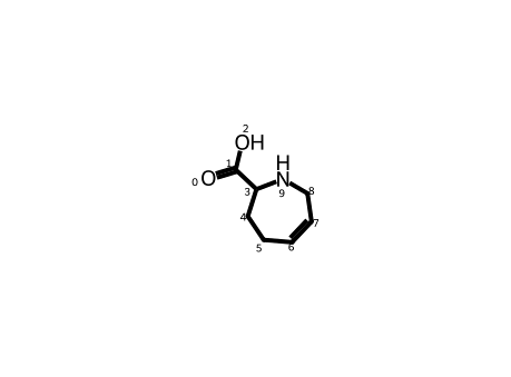 O=C(O)C1CCC=CCN1